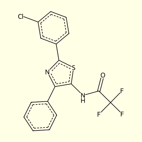 O=C(Nc1sc(-c2cccc(Cl)c2)nc1-c1ccccc1)C(F)(F)F